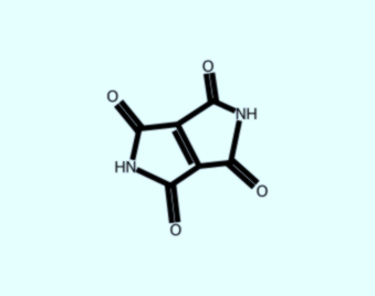 O=c1[nH]c(=O)c2c(=O)[nH]c(=O)c1=2